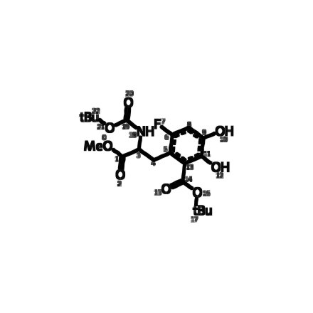 COC(=O)C(Cc1c(F)cc(O)c(O)c1C(=O)OC(C)(C)C)NC(=O)OC(C)(C)C